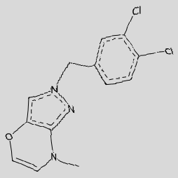 CN1C=COc2cn(Cc3ccc(Cl)c(Cl)c3)nc21